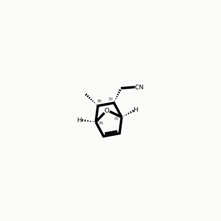 C[C@@H]1[C@H](CC#N)[C@H]2C=C[C@@H]1O2